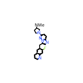 CNC1CCN(c2ccc3ncc(Cc4cc5cccnc5cc4F)n3n2)C1